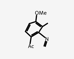 C=Nc1c(C(C)=O)ccc(OC)c1C